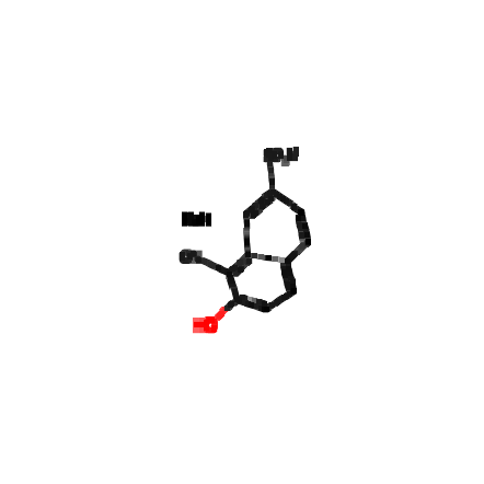 O=Nc1c(O)ccc2ccc(S(=O)(=O)O)cc12.[NaH]